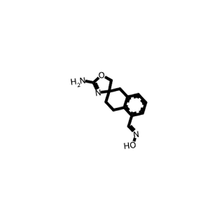 NC1=NC2(CCc3c(/C=N/O)cccc3C2)CO1